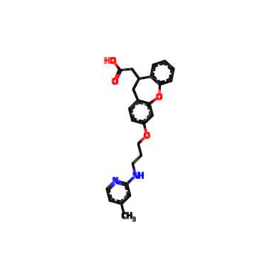 Cc1ccnc(NCCCOc2ccc3c(c2)Oc2ccccc2C(CC(=O)O)C3)c1